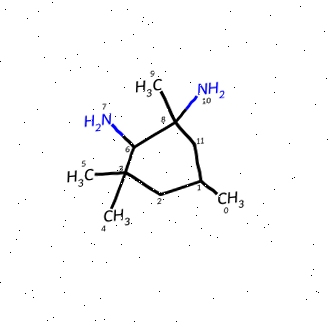 CC1CC(C)(C)C(N)C(C)(N)C1